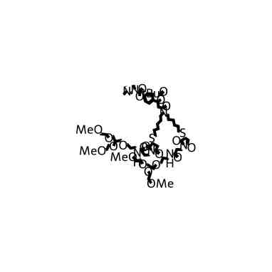 COCCOCC(COCCCNC(=O)CCN1C(=O)CC(SCCCCCCN(CCCCCCSC2CC(=O)N(CCC(=O)NCCCOCC(COCCOC)OCCOC)C2=O)C(=O)CC(OC(=O)C(C)(C)C)c2ccc(OC(=O)N(C)CN(C)C)cc2)C1=O)OCCOC